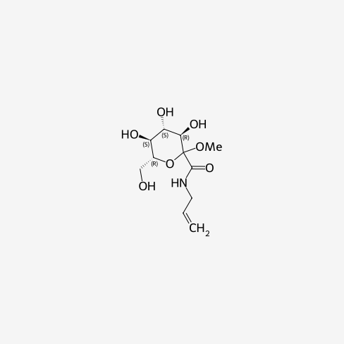 C=CCNC(=O)C1(OC)O[C@H](CO)[C@@H](O)[C@H](O)[C@H]1O